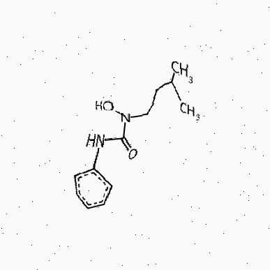 CC(C)CCN(O)C(=O)Nc1ccccc1